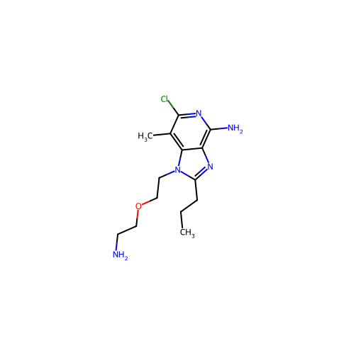 CCCc1nc2c(N)nc(Cl)c(C)c2n1CCOCCN